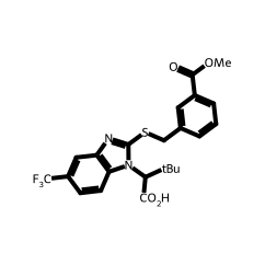 COC(=O)c1cccc(CSc2nc3cc(C(F)(F)F)ccc3n2C(C(=O)O)C(C)(C)C)c1